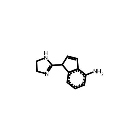 Nc1cccc2c1C=CC2C1=NCCN1